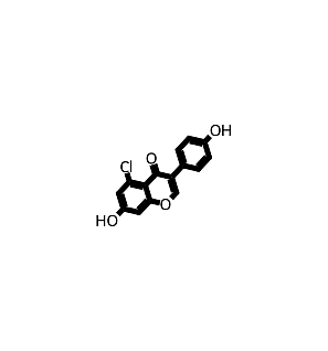 O=c1c(-c2ccc(O)cc2)coc2cc(O)cc(Cl)c12